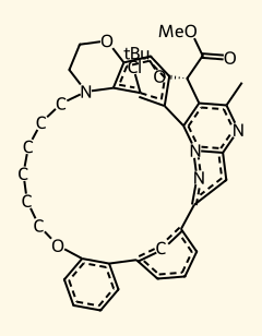 COC(=O)[C@@H](OC(C)(C)C)c1c(C)nc2cc3nn2c1-c1ccc2c(c1Cl)N(CCCCCCOc1ccccc1-c1cccc-3c1)CCO2